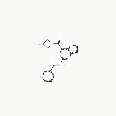 C[C@H](Nc1nc(C(=O)N2CC(O)C2)c2sccc2n1)c1cccnc1